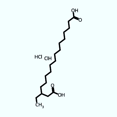 CCC(CCCCCCCCCCCCCC(=O)O)CC(=O)O.Cl.Cl